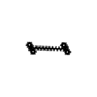 S=P(SCCCCCCCCCCCCCCCCCCSP(=S)(c1ccccc1)c1ccccc1)(c1ccccc1)c1ccccc1